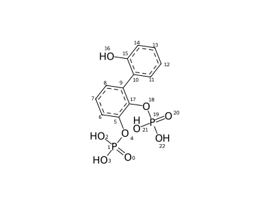 O=P(O)(O)Oc1cccc(-c2ccccc2O)c1OP(=O)(O)O